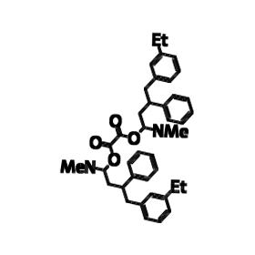 CCc1cccc(CC(CC(NC)OC(=O)C(=O)OC(CC(Cc2cccc(CC)c2)c2ccccc2)NC)c2ccccc2)c1